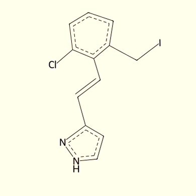 Clc1cccc(CI)c1/C=C/c1cc[nH]n1